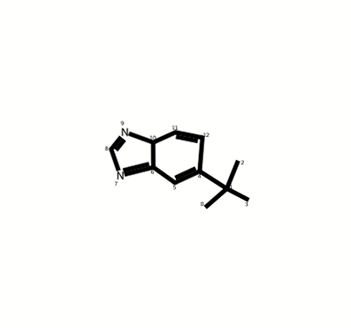 CC(C)(C)C1=CC2=NC=NC2C=C1